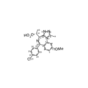 COc1ccc2c(c1)-n1c(C)nnc1[C@H]([C@@H](C)C(=O)O)N=C2c1ccc(Cl)cc1